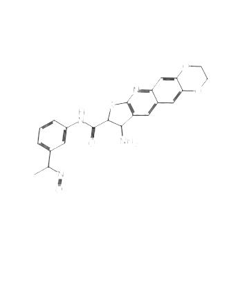 CC(N=O)c1cccc(NC(=O)C2Sc3nc4cc5c(cc4cc3C2N)OCCO5)c1